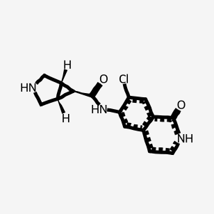 O=C(Nc1cc2cc[nH]c(=O)c2cc1Cl)[C@H]1[C@@H]2CNC[C@@H]21